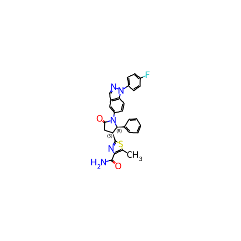 Cc1sc([C@H]2CC(=O)N(c3ccc4c(cnn4-c4ccc(F)cc4)c3)[C@H]2c2ccccc2)nc1C(N)=O